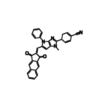 Cn1c(C2C=CC(C#N)=CC2)nc2c1cc(C=C1C(=O)c3cc4ccccc4cc3C1=O)n2-c1ccccc1